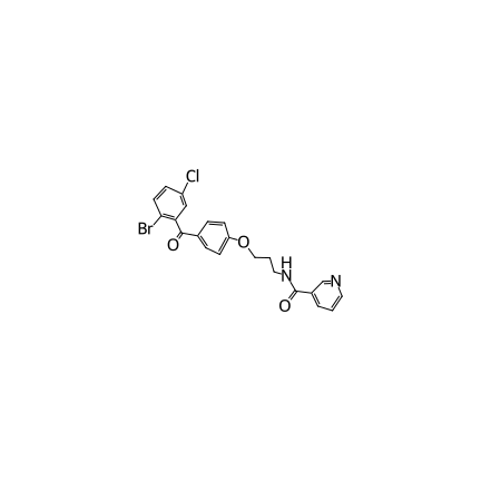 O=C(NCCCOc1ccc(C(=O)c2cc(Cl)ccc2Br)cc1)c1cccnc1